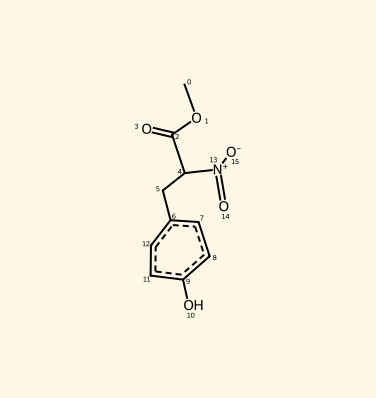 COC(=O)C(Cc1ccc(O)cc1)[N+](=O)[O-]